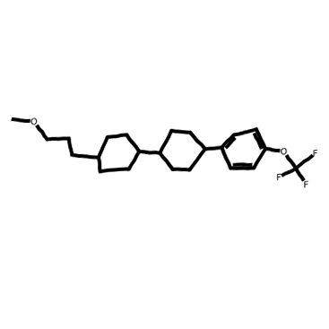 COCCCC1CCC(C2CCC(c3ccc(OC(F)(F)F)cc3)CC2)CC1